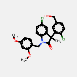 COc1ccc(CN2C(=O)C(C)(c3cc(CO)ccc3Cl)c3cc(Cl)ccc32)c(OC)c1